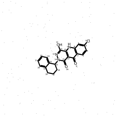 O=c1c2ccc(Cl)cc2[nH]c2c(O)nn(C3CCCc4ccccc43)c(=O)c12